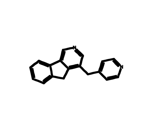 c1ccc2c(c1)Cc1c(Cc3ccncc3)cncc1-2